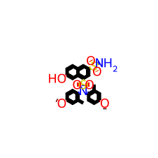 COc1ccc(N(c2ccc(OC)cc2C)S(=O)(=O)c2cc(S(N)(=O)=O)cc3ccc(O)cc23)c(C)c1